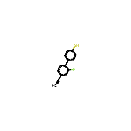 C#Cc1ccc(-c2ccc(S)cc2)c(F)c1